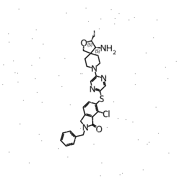 N[C@@H]1[C@H](I)OCC12CCN(c1cnc(Sc3ccc4c(c3Cl)C(=O)N(Cc3ccccc3)C4)cn1)CC2